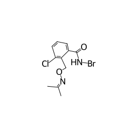 CC(C)=NOCc1c(Cl)cccc1C(=O)NBr